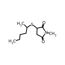 CCCCC(C)SC1CC(=O)N(C)C1=O